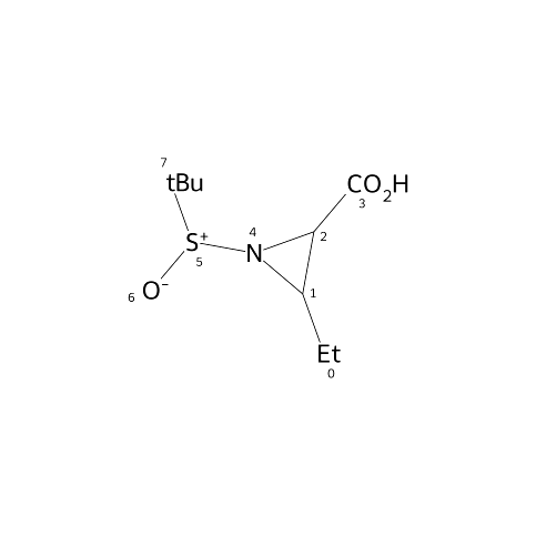 CCC1C(C(=O)O)N1[S+]([O-])C(C)(C)C